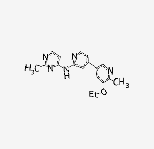 CCOc1cc(-c2ccnc(Nc3ccnc(C)n3)c2)cnc1C